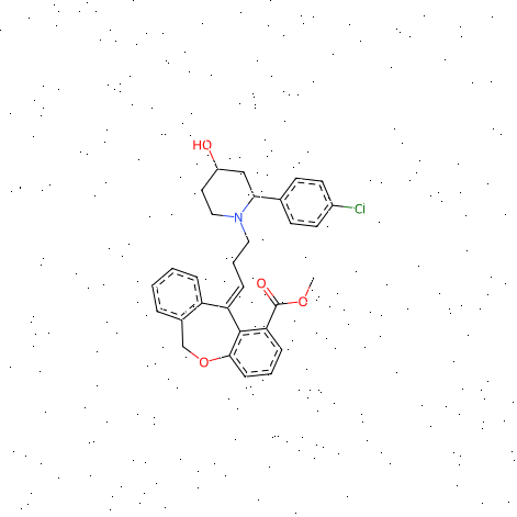 COC(=O)c1cccc2c1C(=CCCN1CCC(O)CC1c1ccc(Cl)cc1)c1ccccc1CO2